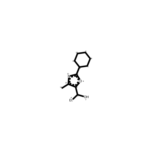 CCC(O)c1oc(C2CCCCC2)nc1C